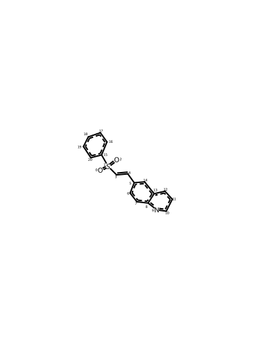 O=S(=O)(/C=C/c1ccc2ncccc2c1)c1ccccc1